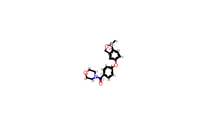 CB1OCc2cc(Oc3ccc(C(=O)N4CCOCC4)cc3)ccc21